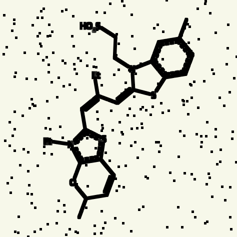 CCC(=Cc1sc2c([n+]1CC)OC(C)C=C2)C=C1Sc2ccc(C)cc2N1CCS(=O)(=O)O